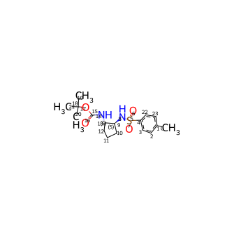 Cc1ccc(S(=O)(=O)N[C@H]2CCC[C@@H]2NC(=O)OC(C)(C)C)cc1